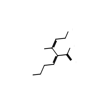 C=C(C)C(=C/CCC)/C(C)=C\CC